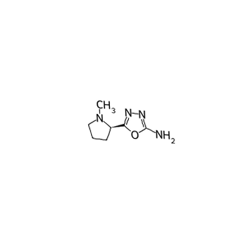 CN1CCC[C@@H]1c1nnc(N)o1